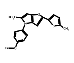 Cc1ccc(-c2cc3c(cc(C(=O)O)n3-c3ccc(OC(C)C)cc3)s2)s1